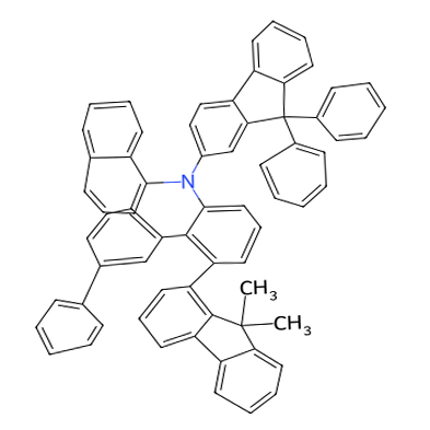 CC1(C)c2ccccc2-c2cccc(-c3cccc(N(c4ccc5c(c4)C(c4ccccc4)(c4ccccc4)c4ccccc4-5)c4cccc5ccccc45)c3-c3cccc(-c4ccccc4)c3)c21